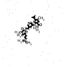 Cc1cc(C(N)=O)c(Nc2cncc(CCNC(=O)[C@H](C)N(C)C(=O)/C=C/CN(C)C)c2)nc1C1CC1